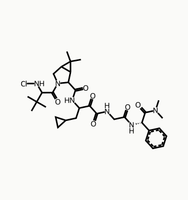 CN(C)C(=O)[C@@H](NC(=O)CNC(=O)C(=O)C(CC1CC1)NC(=O)C1C2C(CN1C(=O)C(NCl)C(C)(C)C)C2(C)C)c1ccccc1